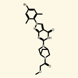 COCC(=O)N1CC2CC1CN2c1nc2nn(-c3c(C)cc(Br)cc3C)cc2c(=O)[nH]1